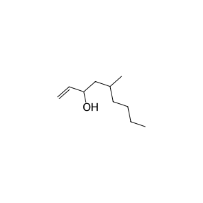 C=CC(O)CC(C)CCCC